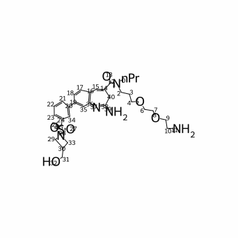 CCCN(CCCOCCOCCN)C(=O)C1=Cc2ccc(-c3cccc(S(=O)(=O)N4CC(CO)C4)c3)cc2N=C(N)C1